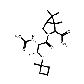 C[C@@H](OC1(C)CCC1)[C@H](NC(=O)C(F)(F)F)C(=O)N1CC2C(C)(C)C2(C)C1C(N)=O